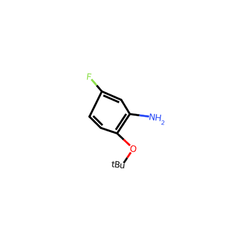 CC(C)(C)Oc1ccc(F)cc1N